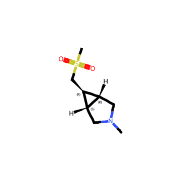 CN1C[C@@H]2[C@H](C1)[C@H]2CS(C)(=O)=O